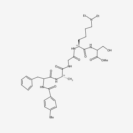 CCN(CC)CCCC[C@H](NC(=O)CNC(=O)[C@H](C)NC(=O)C(Cc1ccccc1)NC(=O)c1ccc(C(C)(C)C)cc1)C(=O)NC(CO)C(=O)OC